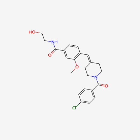 COc1cc(C(=O)NCCO)ccc1C=C1CCN(C(=O)c2ccc(Cl)cc2)CC1